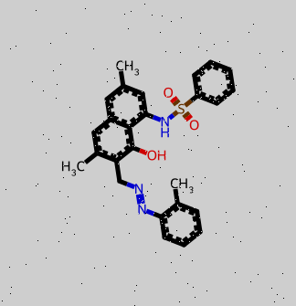 Cc1cc(NS(=O)(=O)c2ccccc2)c2c(O)c(CN=Nc3ccccc3C)c(C)cc2c1